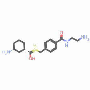 NCCNC(=O)c1ccc(C[SH]=C(O)[C@H]2CCC[C@@H](N)C2)cc1